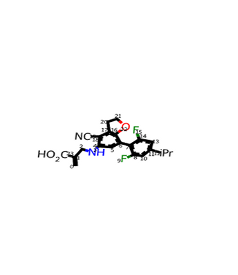 C=C(CNc1cc(-c2c(F)cc(C(C)C)cc2F)c2c(c1C#N)CCO2)C(=O)O